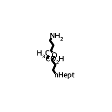 CC(=O)O.CCCCCCCCCCOCCCN